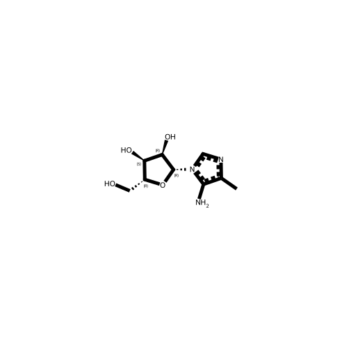 Cc1ncn([C@@H]2O[C@H](CO)[C@@H](O)[C@H]2O)c1N